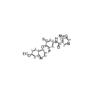 CCOc1ccc2c(Oc3c(F)cc(NC(=O)c4cnccc4OC)cc3F)ccnc2c1